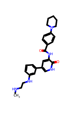 CNCCNc1cccc(-c2c[nH]c(=O)c(NC(=O)c3ccc(N4CCCCC4)cc3)c2)c1